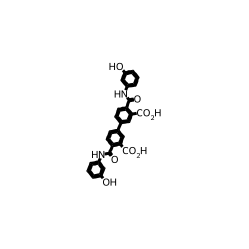 O=C(O)c1cc(-c2ccc(C(=O)Nc3cccc(O)c3)c(C(=O)O)c2)ccc1C(=O)Nc1cccc(O)c1